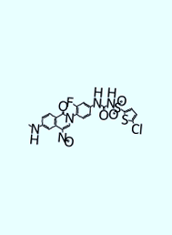 CNc1ccc2c(=O)n(-c3ccc(NC(=O)NS(=O)(=O)c4ccc(Cl)s4)cc3F)cc(N=O)c2c1